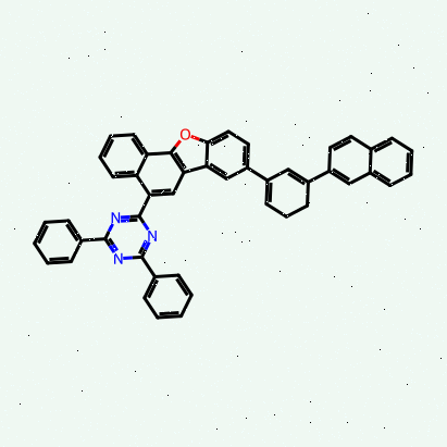 C1=C(c2ccc3oc4c5ccccc5c(-c5nc(-c6ccccc6)nc(-c6ccccc6)n5)cc4c3c2)C=C(c2ccc3ccccc3c2)CC1